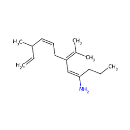 C=CC(C)/C=C\CC(/C=C(/N)CCC)=C(C)C